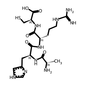 C[C@H](N)C(=O)N[C@@H](Cc1c[nH]cn1)C(=O)N[C@@H](CCCNC(=N)N)C(=O)N[C@@H](CS)C(=O)O